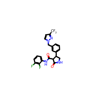 O=C1NCC(c2cccc(Cn3ccc(C(F)(F)F)n3)c2)C1C(=O)Nc1cccc(F)c1F